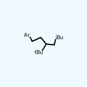 CCC(C)CC(CCC(C)=O)C(C)(C)C